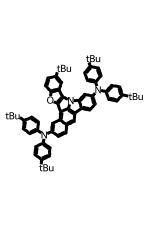 CC(C)(C)c1ccc(N(c2ccc(C(C)(C)C)cc2)c2ccc3cc4c5ccc(N(c6ccc(C(C)(C)C)cc6)c6ccc(C(C)(C)C)cc6)cc5n5c6c7cc(C(C)(C)C)ccc7oc6c(c3c2)c45)cc1